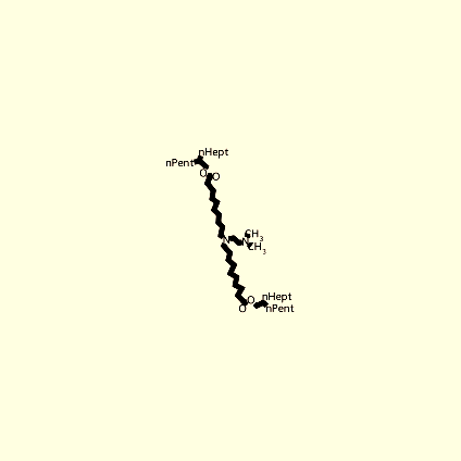 CCCCCCCC(CCCCC)COC(=O)CCCCCCCCCN(CCCCCCCCCC(=O)OCC(CCCCC)CCCCCCC)CCN(C)C